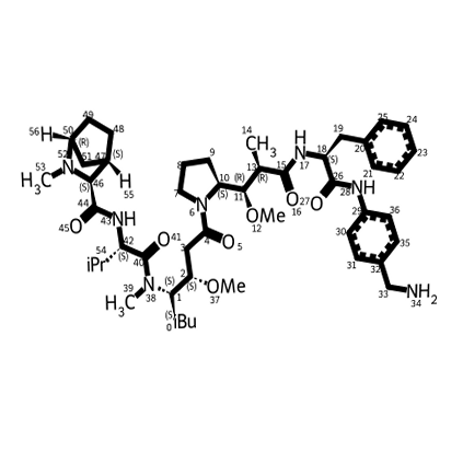 CC[C@H](C)[C@@H]([C@H](CC(=O)N1CCC[C@H]1[C@H](OC)[C@@H](C)C(=O)N[C@@H](Cc1ccccc1)C(=O)Nc1ccc(CN)cc1)OC)N(C)C(=O)[C@@H](NC(=O)[C@@H]1[C@H]2CC[C@H](C2)N1C)C(C)C